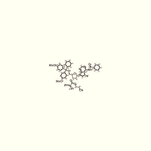 COc1ccc(C(OC[C@H]2O[C@@H](n3cc(F)c4c(NC(=O)c5ccccc5)ncnc43)C[C@@H]2OP(OCCC#N)N(C(C)C)C(C)C)(c2ccccc2)c2ccc(OC)cc2)cc1